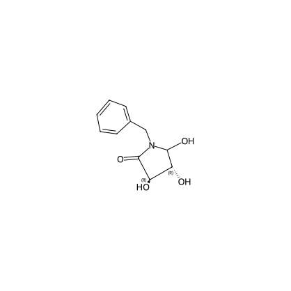 O=C1[C@H](O)[C@@H](O)C(O)N1Cc1ccccc1